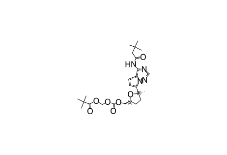 CC(C)(C)CC(=O)Nc1ncnn2c([C@@]3(C)CC[C@@H](COC(=O)OCOC(=O)C(C)(C)C)O3)ccc12